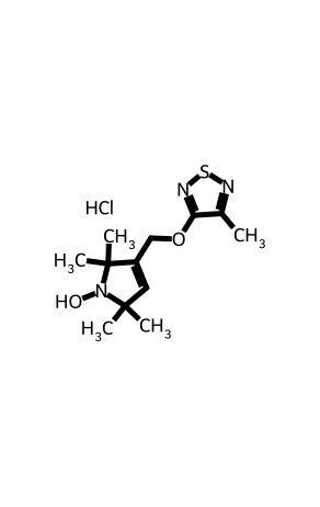 Cc1nsnc1OCC1=CC(C)(C)N(O)C1(C)C.Cl